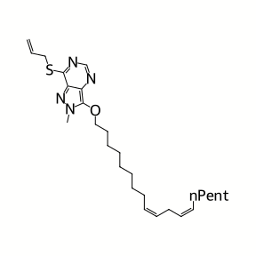 C=CCSc1ncnc2c(OCCCCCCCC/C=C\C/C=C\CCCCC)n(C)nc12